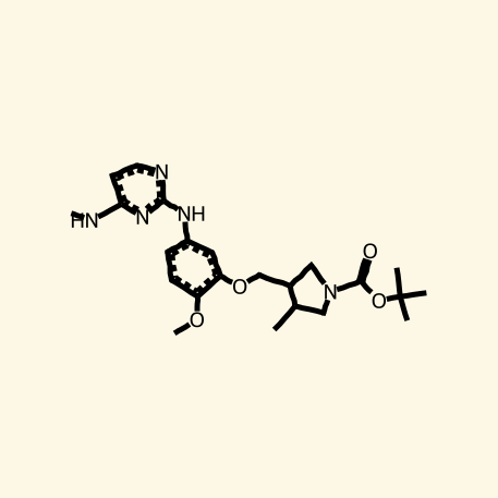 CNc1ccnc(Nc2ccc(OC)c(OCC3CN(C(=O)OC(C)(C)C)CC3C)c2)n1